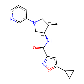 C[C@@H]1CN(c2cccnc2)C[C@@H]1NC(=O)c1cc(C2CC2)on1